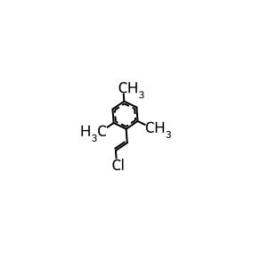 Cc1cc(C)c(C=CCl)c(C)c1